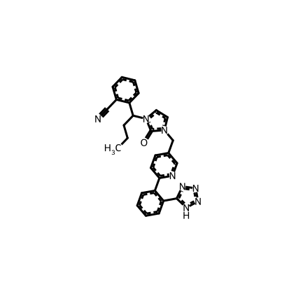 CCCC(c1ccccc1C#N)n1ccn(Cc2ccc(-c3ccccc3-c3nnn[nH]3)nc2)c1=O